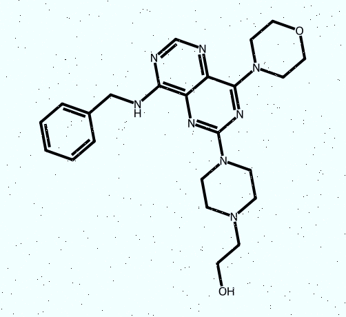 OCCN1CCN(c2nc(N3CCOCC3)c3ncnc(NCc4ccccc4)c3n2)CC1